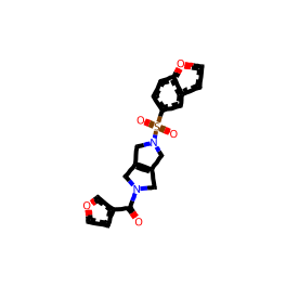 O=C(c1ccoc1)N1CC2=C(C1)CN(S(=O)(=O)c1ccc3occc3c1)C2